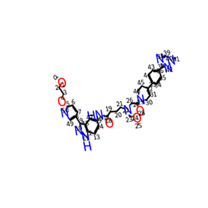 COCCOc1ccc(-c2n[nH]c3ccc(NC(=O)CCCN(COC)CC(=O)N4CC=C(c5ccc(-c6ncn(C)n6)cc5)CC4)cc23)cn1